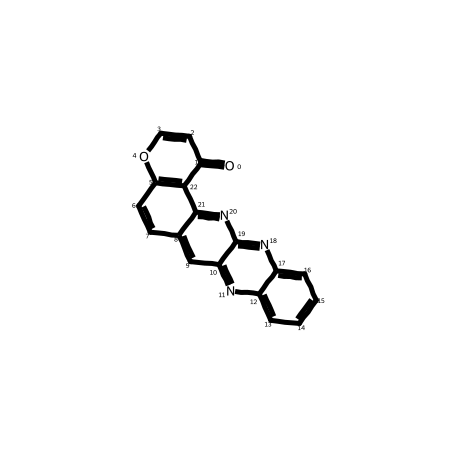 O=c1ccoc2ccc3cc4nc5ccccc5nc4nc3c12